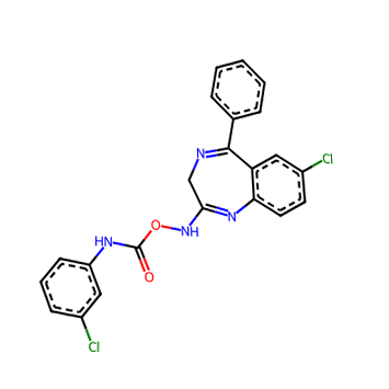 O=C(Nc1cccc(Cl)c1)ONC1=Nc2ccc(Cl)cc2C(c2ccccc2)=NC1